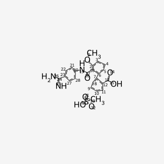 COc1cccc(-c2ccccc2C(=O)O)c1C(=O)Nc1ccc(C(=N)N)cc1.CS(=O)(=O)O